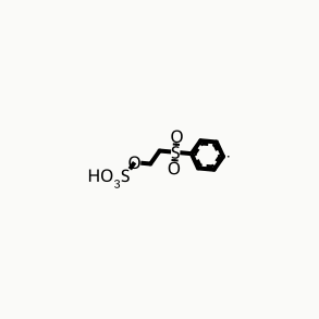 O=S(=O)(O)OCCS(=O)(=O)c1cc[c]cc1